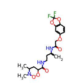 C=C(CCNC(=O)C1CC(C)N(C)OO1)NC(=O)COc1ccc2c(c1)OC(F)(F)O2